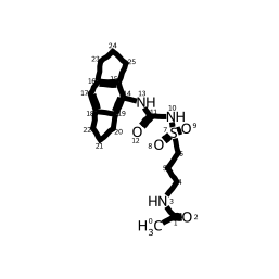 CC(=O)NCCCS(=O)(=O)NC(=O)Nc1c2c(cc3c1CCC3)CCC2